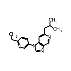 CCc1ccc(-n2cnc3cnc(CC(C)C)cc32)cn1